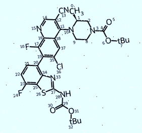 C[C@H]1CN(C(=O)OC(C)(C)C)CCN1c1c(C#N)cnc2c(F)c(-c3ccc(F)c4sc(NC(=O)OC(C)(C)C)nc34)c(Cl)cc12